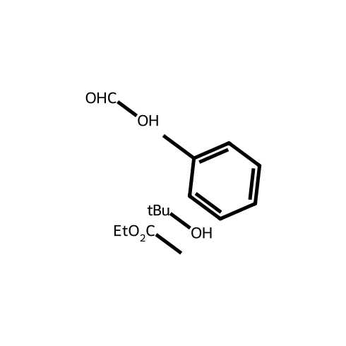 CC(C)(C)O.CCOC(C)=O.Cc1ccccc1.O=CO